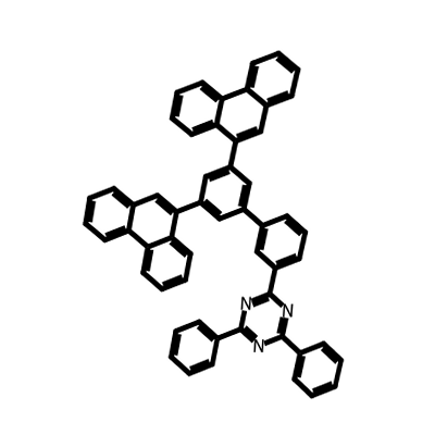 c1ccc(-c2nc(-c3ccccc3)nc(-c3cccc(-c4cc(-c5cc6ccccc6c6ccccc56)cc(-c5cc6ccccc6c6ccccc56)c4)c3)n2)cc1